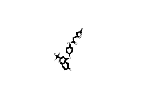 Cc1cc(CC(=O)NC2CCC(Nc3cc(C(F)(F)F)nc4ccc(Cl)cc34)CC2)on1